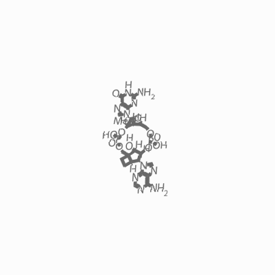 CO[C@H]1[C@H]2OP(=O)(O)OCC34CC[C@@H]3[C@@H](n3cnc5c(N)ncnc53)[C@H](OP(=O)(O)OC[C@H]1O[C@H]2n1cnc2c(=O)[nH]c(N)nc21)[C@@H]4O